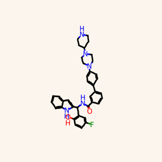 O=C(NC(c1cc2ccccc2[nH]1)c1cc(F)ccc1O)c1cccc(-c2ccc(N3CCN(C4CCNCC4)CC3)cc2)c1